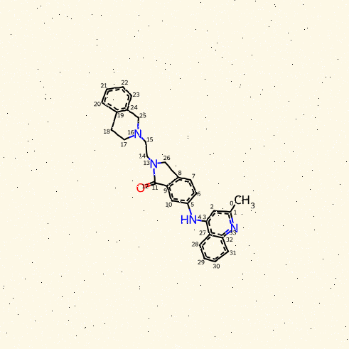 Cc1cc(Nc2ccc3c(c2)C(=O)N(CCN2CCc4ccccc4C2)C3)c2ccccc2n1